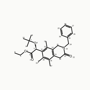 CCOC(=O)[C@@H](OC(C)(C)C)c1c(C)c2c(c(C)c1I)CC(=O)N(Cc1ccccc1)C2